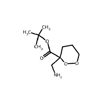 CC(C)(C)OC(=O)C1(CN)CCCOO1